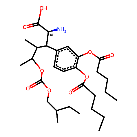 CCCCC(=O)Oc1ccc(C(C(C)C(C)OC(=O)OCC(C)CC)[C@H](N)C(=O)O)cc1OC(=O)CCCC